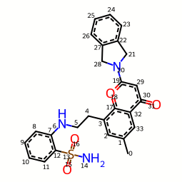 Cc1cc(CCNc2ccccc2S(N)(=O)=O)c2oc(N3Cc4ccccc4C3)cc(=O)c2c1